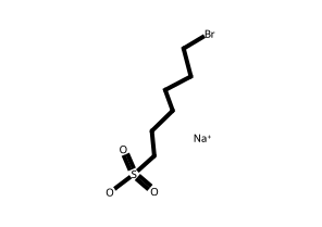 O=S(=O)([O-])CCCCCCBr.[Na+]